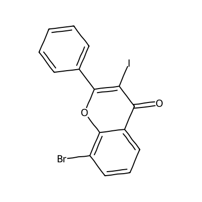 O=c1c(I)c(-c2ccccc2)oc2c(Br)cccc12